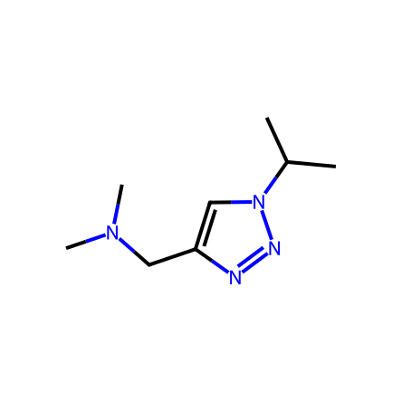 CC(C)n1cc(CN(C)C)nn1